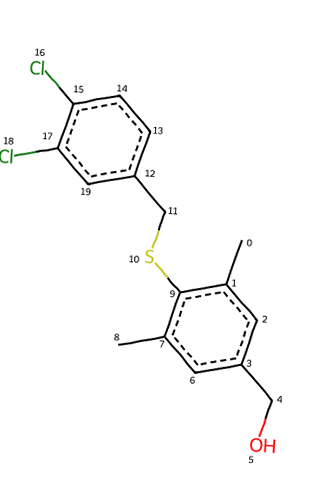 Cc1cc(CO)cc(C)c1SCc1ccc(Cl)c(Cl)c1